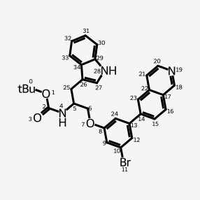 CC(C)(C)OC(=O)NC(COc1cc(Br)cc(-c2ccc3cnccc3c2)c1)Cc1c[nH]c2ccccc12